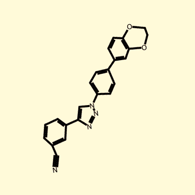 N#Cc1cccc(-c2cn(-c3ccc(-c4ccc5c(c4)OCCO5)cc3)nn2)c1